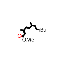 CCC(C)CCC(C)C=CC(C)=CC(=O)OC